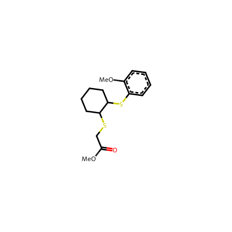 COC(=O)CSC1CCCCC1Sc1ccccc1OC